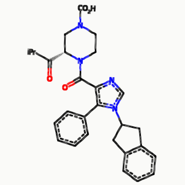 CC(C)C(=O)[C@@H]1CN(C(=O)O)CCN1C(=O)c1ncn(C2Cc3ccccc3C2)c1-c1ccccc1